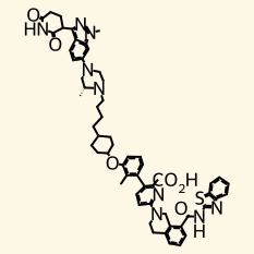 Cc1c(OC2CCC(CCCCN3CCN(c4ccc5c(C6CCC(=O)NC6=O)nn(C)c5c4)C[C@H]3C)CC2)cccc1-c1ccc(N2CCc3cccc(C(=O)Nc4nc5ccccc5s4)c3C2)nc1C(=O)O